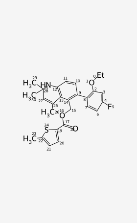 CCOc1cc(F)ccc1-c1ccc2c(c1COC(=O)c1ccc(C)s1)C(C)=CC(C)(C)N2